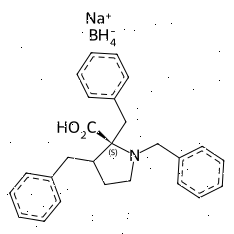 O=C(O)[C@]1(Cc2ccccc2)C(Cc2ccccc2)CCN1Cc1ccccc1.[BH4-].[Na+]